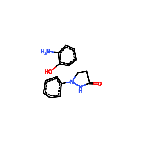 Nc1ccccc1O.O=C1CCN(c2ccccc2)N1